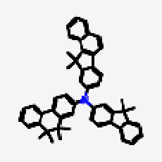 CC1(C)c2ccccc2-c2ccc(N(c3ccc4c(c3)C(C)(C)c3c-4ccc4ccccc34)c3ccc4c(c3)C(C)(C)C(C)(C)c3ccccc3-4)cc21